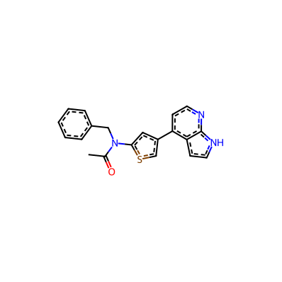 CC(=O)N(Cc1ccccc1)c1cc(-c2ccnc3[nH]ccc23)cs1